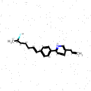 C=CCc1ccc(-c2ccc(C=CCCCC(C)F)cc2)nc1